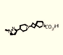 Cn1ccc(C2CCN(C3CC4(CCN(C(=O)O)C4)C3)CC2)n1